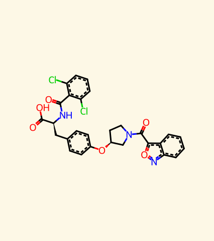 O=C(N[C@@H](Cc1ccc(O[C@H]2CCN(C(=O)c3onc4ccccc34)C2)cc1)C(=O)O)c1c(Cl)cccc1Cl